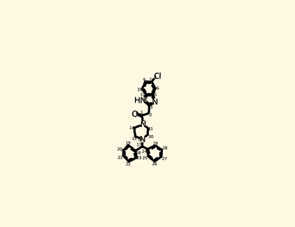 O=C(Cc1nc2cc(Cl)ccc2[nH]1)N1CCN(C(c2ccccc2)c2ccccc2)CC1